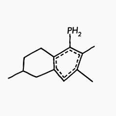 Cc1cc2c(c(P)c1C)CCC(C)C2